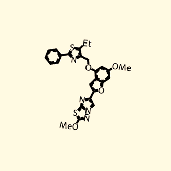 CCc1sc(-c2ccccc2)nc1COc1cc(OC)cc2oc(-c3cn4nc(OC)sc4n3)cc12